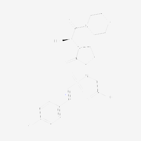 C[C@@H](C(=O)N1CCOCC1)N1CC[C@H](N(CC(=O)O)S(=O)(=O)/C=C/c2ccc(Cl)cc2)C1=O